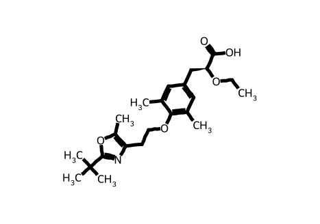 CCO[C@@H](Cc1cc(C)c(OCCc2nc(C(C)(C)C)oc2C)c(C)c1)C(=O)O